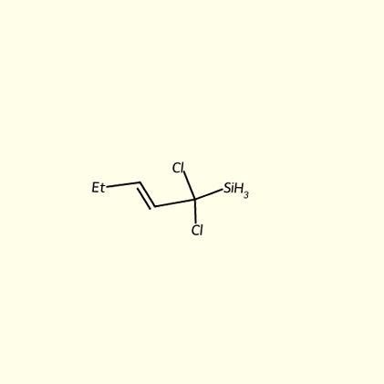 CCC=CC([SiH3])(Cl)Cl